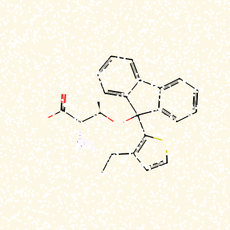 CCc1ccsc1C1(O[C@H](C)[C@H](N)C(=O)O)c2ccccc2-c2ccccc21